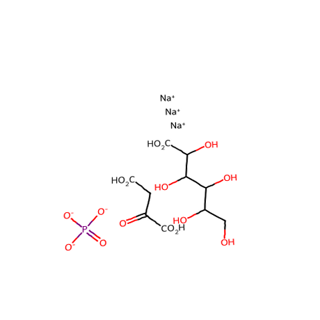 O=C(O)C(O)C(O)C(O)C(O)CO.O=C(O)CC(=O)C(=O)O.O=P([O-])([O-])[O-].[Na+].[Na+].[Na+]